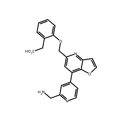 NCc1cc(-c2cc(COc3ccccc3CC(=O)O)nc3ccoc23)ccn1